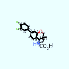 CC1(C)COc2cc(-c3ccc(F)c(F)c3)ccc2C1NC(=O)O